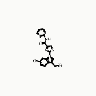 CC(C)Cc1cn(-c2nc(C(=O)Nc3ccccn3)cs2)c2cc(Cl)ccc12